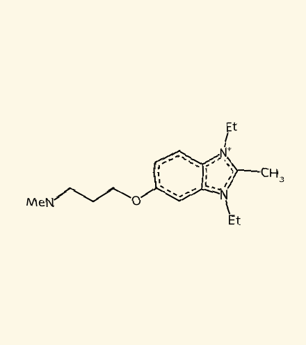 CCn1c(C)[n+](CC)c2ccc(OCCCNC)cc21